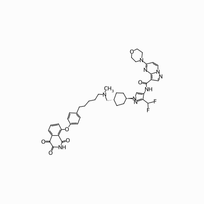 CN(CCCCCc1ccc(Oc2cccc3c2C(=O)NC(=O)C3=O)cc1)C[C@H]1CC[C@H](n2cc(NC(=O)c3cnn4ccc(N5CCOCC5)nc34)c(C(F)F)n2)CC1